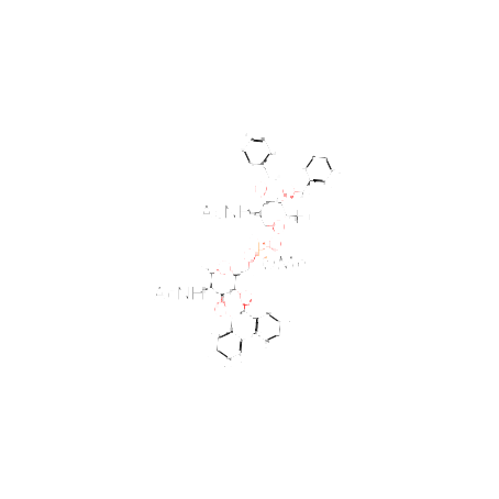 CCC1O[C@H](CP(=O)(OC)OCC2O[C@H](C)C(NC(C)=O)[C@H](OCc3ccccc3)[C@@H]2OCc2ccccc2)C(NC(C)=O)[C@H](OCc2ccccc2)[C@@H]1OCc1ccccc1